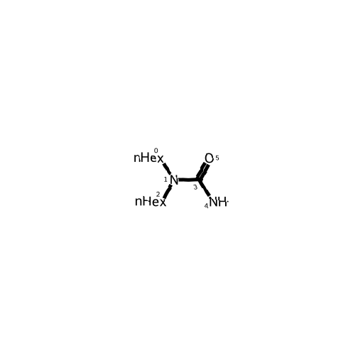 CCCCCCN(CCCCCC)C([NH])=O